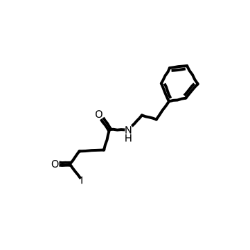 O=C(I)CCC(=O)NCCc1ccccc1